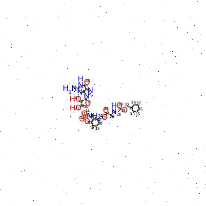 Nc1nc2c(ncn2[C@@H]2O[C@H](COP(N)(=O)Oc3cccc(COC(=O)CNCC(=O)OCc4ccccc4)c3)[C@@H](O)[C@H]2O)c(=O)[nH]1